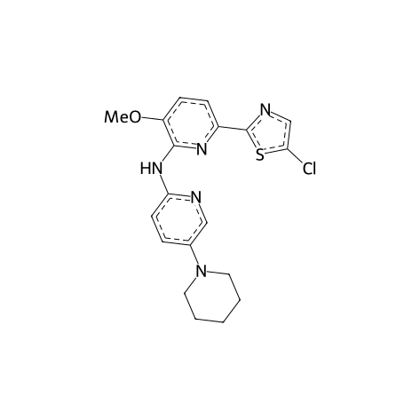 COc1ccc(-c2ncc(Cl)s2)nc1Nc1ccc(N2CCCCC2)cn1